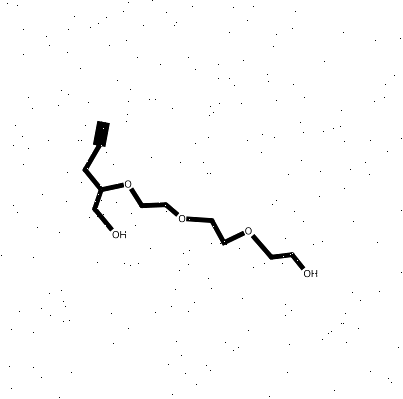 C#CCC(CO)OCCOCCOCCO